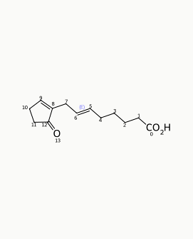 O=C(O)CCCC/C=C/CC1=CCCC1=O